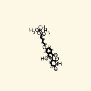 CC(C)(C)OC(=O)CCCCOc1ccc2c(c1)C(O)N(C1CCC(=O)NC1=O)C2=O